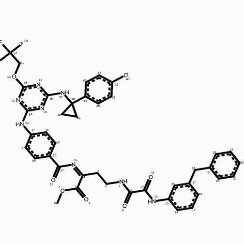 COC(=O)/C(CCNC(=O)C(=O)Nc1cccc(Cc2ccccc2)c1)=N\C(=O)c1ccc(Nc2nc(NC3(c4ccc(Cl)cc4)CC3)nc(OCC(F)(F)F)n2)cc1